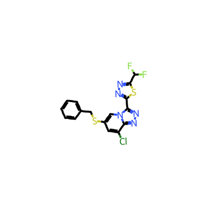 FC(F)c1nnc(-c2nnc3c(Cl)cc(SCc4ccccc4)cn23)s1